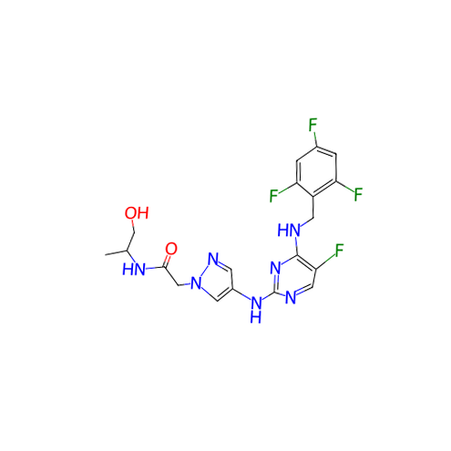 CC(CO)NC(=O)Cn1cc(Nc2ncc(F)c(NCc3c(F)cc(F)cc3F)n2)cn1